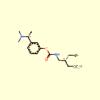 CC(C)C[C@@H](CNC(=O)Oc1cccc([C@H](C)N(C)C)c1)CC(=O)O